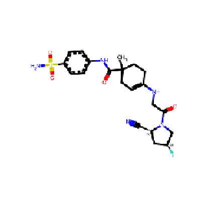 CC1(C(=O)Nc2ccc(S(N)(=O)=O)cc2)CC=C(NCC(=O)N2C[C@@H](F)C[C@H]2C#N)CC1